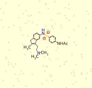 CC(=O)Nc1ccc(S(=O)(=O)Nc2ccc3c(c2)C(CCN(C)C)=C(C)C3)cc1